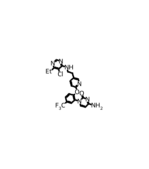 CCc1ncnc(NCCc2ccc(Oc3ccc(C(F)(F)F)cc3-n3ccc(N)nc3=O)nc2)c1Cl